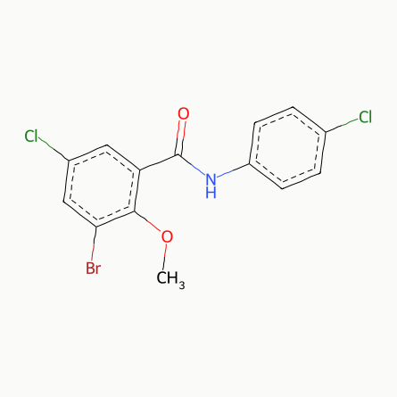 COc1c(Br)cc(Cl)cc1C(=O)Nc1ccc(Cl)cc1